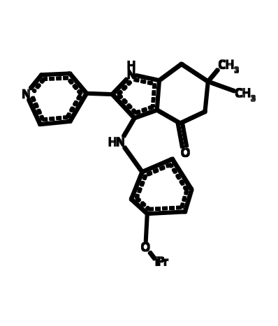 CC(C)Oc1cccc(Nc2c(-c3ccncc3)[nH]c3c2C(=O)CC(C)(C)C3)c1